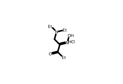 CCC(=O)C(CN(CC)CC)=NO.Cl